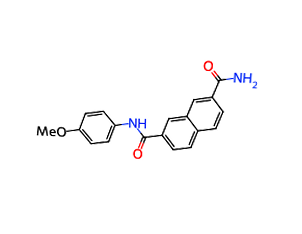 COc1ccc(NC(=O)c2ccc3ccc(C(N)=O)cc3c2)cc1